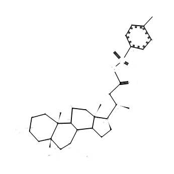 CC[C@H]1[C@@H](O)C2C3CC[C@H]([C@H](C)CC(=O)NS(=O)(=O)c4ccc(C(F)(F)F)cc4)[C@@]3(C)CCC2[C@@]2(C)CC[C@@H](O)C[C@@H]12